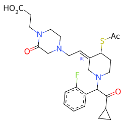 CC(=O)SC1CCN(C(C(=O)C2CC2)c2ccccc2F)C/C1=C\CN1CCN(CCC(=O)O)C(=O)C1